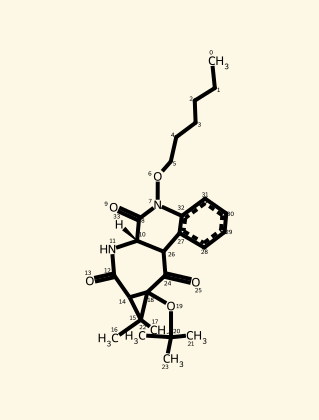 CCCCCCON1C(=O)[C@H]2NC(=O)C3C(C)(C)C3(OC(C)(C)C)C(=O)C2c2ccccc21